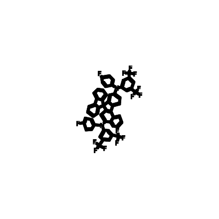 Fc1ccc(N(c2cc(C(F)(F)F)cc(C(F)(F)F)c2)c2ccc3c(c2)C2(c4ccccc4-c4ccccc42)c2cc(N(c4ccc(F)cc4)c4cc(C(F)(F)F)cc(C(F)(F)F)c4)c4ccccc4c2-3)cc1